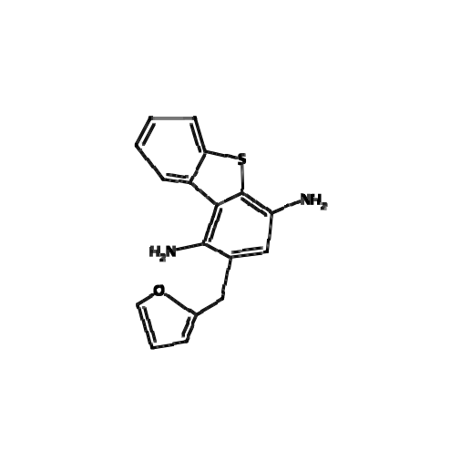 Nc1cc(Cc2ccco2)c(N)c2c1sc1ccccc12